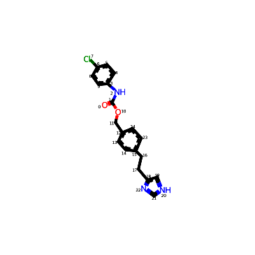 O=C(Nc1ccc(Cl)cc1)OCc1ccc(CCc2c[nH]cn2)cc1